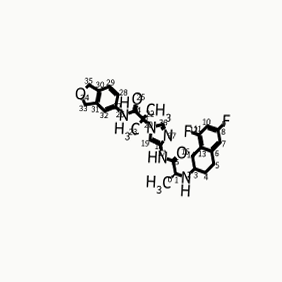 C[C@H](NC1CCc2cc(F)cc(F)c2C1)C(=O)Nc1cn(C(C)(C)C(=O)Nc2ccc3c(c2)COC3)cn1